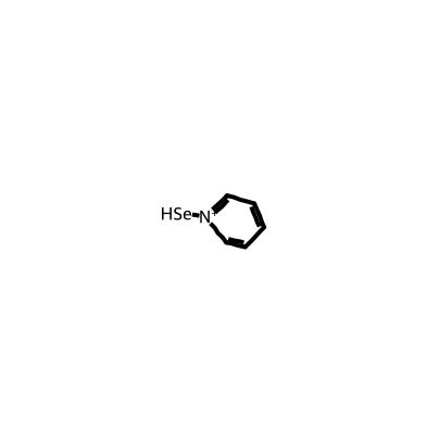 [SeH][n+]1ccccc1